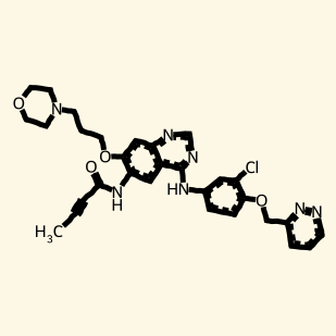 CC#CC(=O)Nc1cc2c(Nc3ccc(OCc4cccnn4)c(Cl)c3)ncnc2cc1OCCCN1CCOCC1